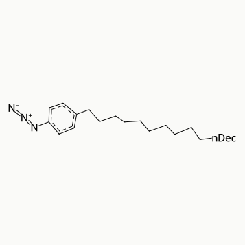 CCCCCCCCCCCCCCCCCCCCc1ccc(N=[N+]=[N-])cc1